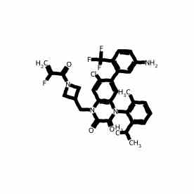 C=C(F)C(=O)N1CC(Cn2c(=O)c(=O)n(-c3c(C)cccc3C(C)C)c3cc(-c4cc(N)ccc4C(F)(F)F)c(Cl)cc32)C1